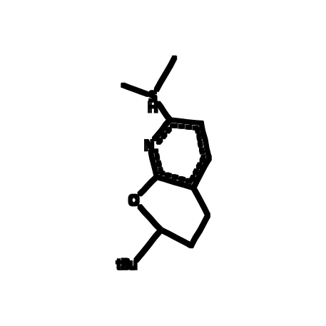 C[SH](C)c1ccc2c(n1)OC(C(C)(C)C)CC2